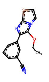 CCOc1c(-c2cccc(C#N)c2)nc2sccn12